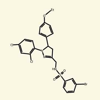 CCOc1ccc(C2CC(CNS(=O)(=O)c3cccc(Br)c3)=NN2c2ccc(Cl)cc2Cl)cc1